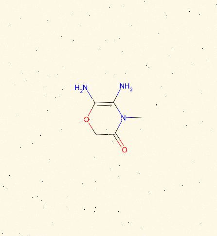 CN1C(=O)COC(N)=C1N